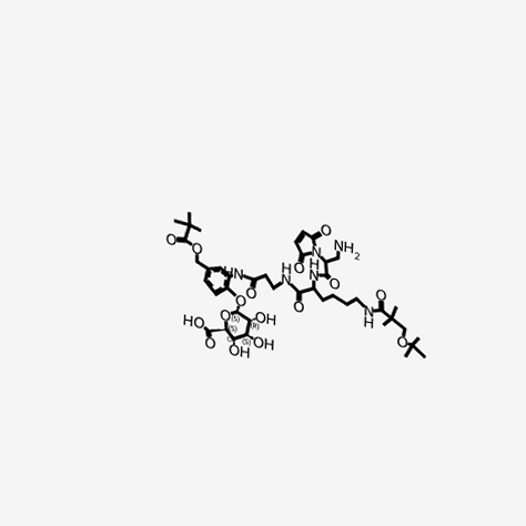 CC(C)(C)OCC(C)(C)C(=O)NCCCCC(NC(=O)C(CN)N1C(=O)C=CC1=O)C(=O)NCCC(=O)Nc1cc(COC(=O)C(C)(C)C)ccc1O[C@@H]1O[C@H](C(=O)O)[C@@H](O)[C@H](O)[C@H]1O